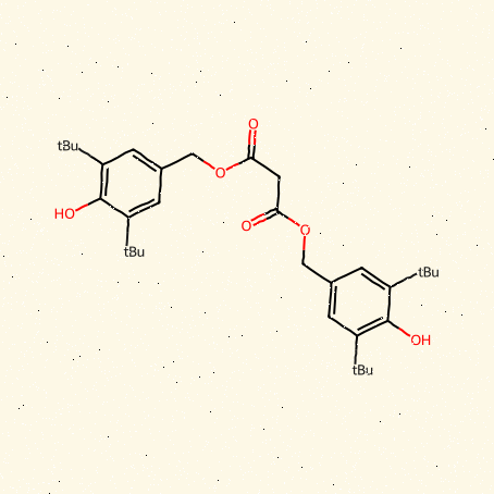 CC(C)(C)c1cc(COC(=O)CC(=O)OCc2cc(C(C)(C)C)c(O)c(C(C)(C)C)c2)cc(C(C)(C)C)c1O